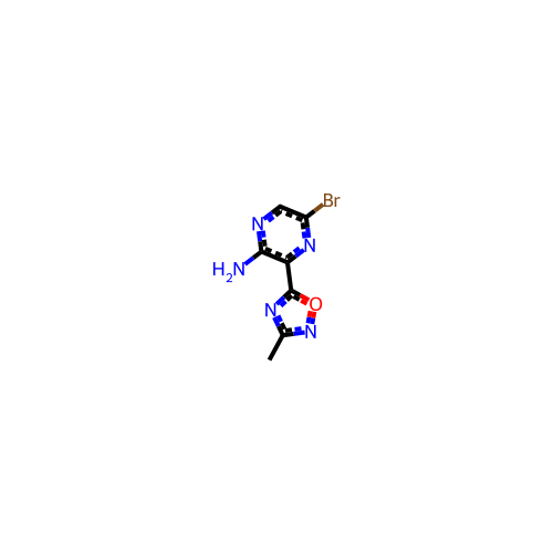 Cc1noc(-c2nc(Br)cnc2N)n1